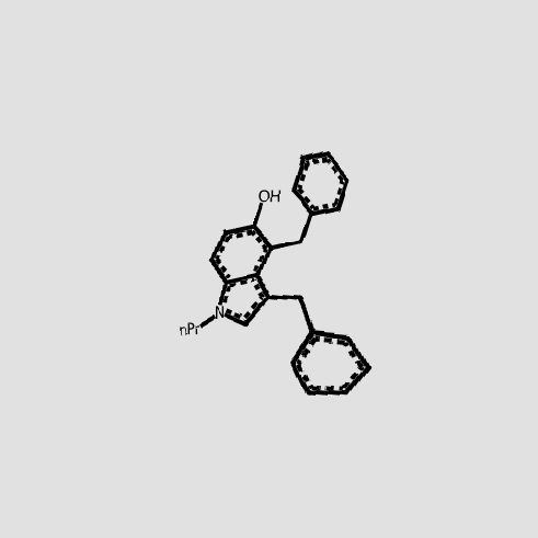 CCCn1cc(Cc2ccccc2)c2c(Cc3ccccc3)c(O)ccc21